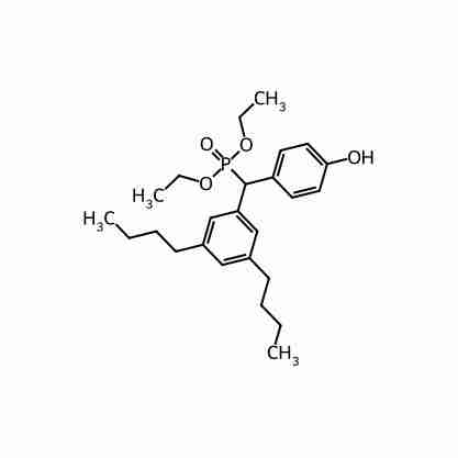 CCCCc1cc(CCCC)cc(C(c2ccc(O)cc2)P(=O)(OCC)OCC)c1